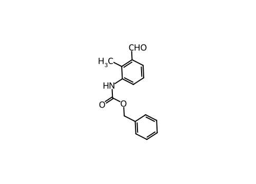 Cc1c(C=O)cccc1NC(=O)OCc1ccccc1